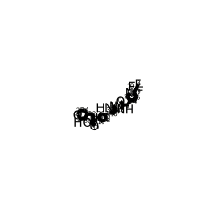 O=C(Cc1ccc(C(F)(F)F)nc1)Nc1cc([C@@H]2CC[C@H](N(CC3CCOCC3)C(=O)O)C2)[nH]n1